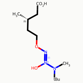 C[C@@H](CCO/N=[N+](\O)N(C)C(C)(C)C)CC(=O)O